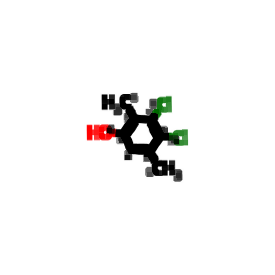 Cc1cc(O)c(C)c(Cl)c1Cl